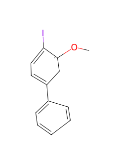 CO[C]1CC(c2ccccc2)=CC=C1I